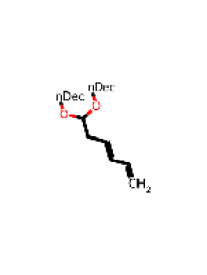 C=C/C=C/CC(OCCCCCCCCCC)OCCCCCCCCCC